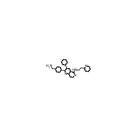 NCc1ccc(-c2nc3ccnc(NCCc4ccccn4)c3cc2-c2ccccc2)cc1